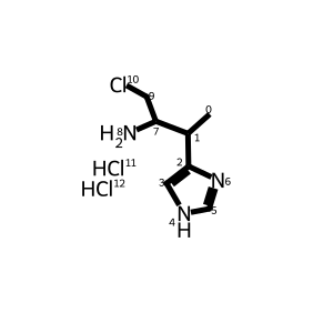 CC(c1c[nH]cn1)C(N)CCl.Cl.Cl